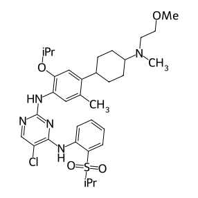 COCCN(C)C1CCC(c2cc(OC(C)C)c(Nc3ncc(Cl)c(Nc4ccccc4S(=O)(=O)C(C)C)n3)cc2C)CC1